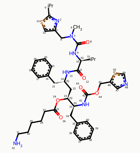 CC(C)c1nc(CN(C)C(=O)N[C@H](C(=O)N[C@@H](Cc2ccccc2)C[C@H](OC(=O)CCCCCN)[C@H](Cc2ccccc2)NC(=O)OCc2cncs2)C(C)C)cs1